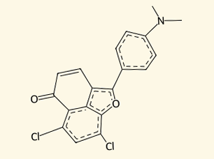 CN(C)c1ccc(-c2oc3c(Cl)cc(Cl)c4c3c2C=CC4=O)cc1